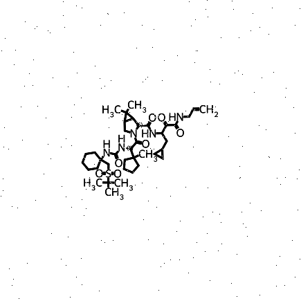 C=CCNC(=O)C(=O)C(CC1CC1)NC(=O)[C@@H]1C2C(CN1C(=O)[C@@H](NC(=O)NC1(CS(=O)(=O)C(C)(C)C)CCCCC1)C1(C)CCCC1)C2(C)C